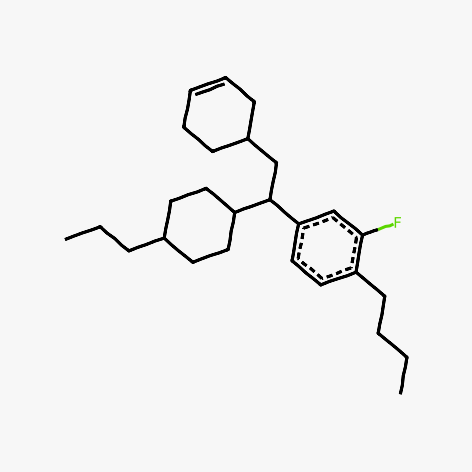 CCCCc1ccc(C(CC2CC=CCC2)C2CCC(CCC)CC2)cc1F